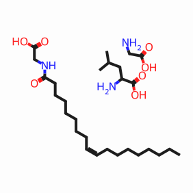 CC(C)CC(N)C(=O)O.CCCCCCCC/C=C\CCCCCCCC(=O)NCC(=O)O.NCC(=O)O